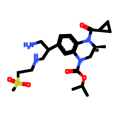 CC(C)OC(=O)N1C[C@H](C)N(C(=O)C2CC2)c2ccc(C(CN)CNCCS(C)(=O)=O)cc21